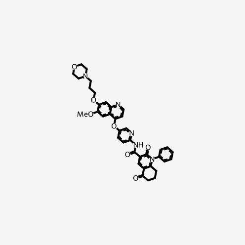 COc1cc2c(Oc3ccc(NC(=O)c4cc5c(n(-c6ccccc6)c4=O)CCCC5=O)nc3)ccnc2cc1OCCCN1CCOCC1